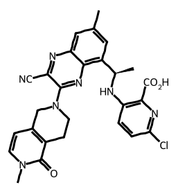 Cc1cc([C@@H](C)Nc2ccc(Cl)nc2C(=O)O)c2nc(N3CCc4c(ccn(C)c4=O)C3)c(C#N)nc2c1